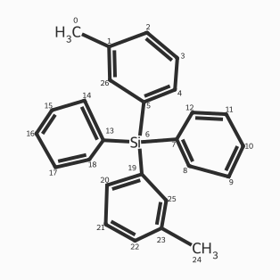 Cc1cccc([Si](c2ccccc2)(c2ccccc2)c2cccc(C)c2)c1